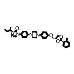 CCC(C)n1ncn(-c2ccc(N3CCN(c4ccc(OC[C@@H]5CO[C@@H](c6ccccc6C)O5)cc4)CC3)cc2)c1=O